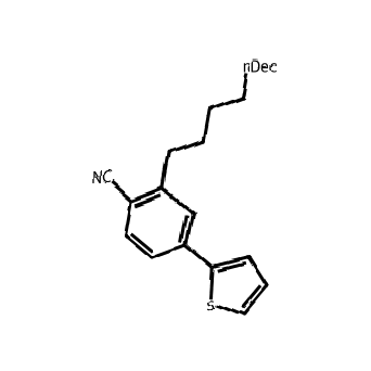 CCCCCCCCCCCCCCc1cc(-c2cccs2)ccc1C#N